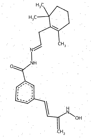 C=C(/C=C/c1cccc(C(=O)N/N=C/CC2=C(C)CCCC2(C)C)c1)NO